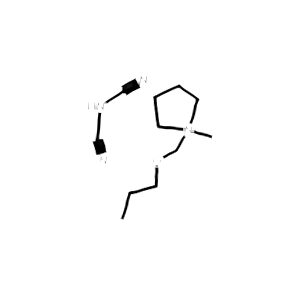 CCCOC[N+]1(C)CCCC1.N#CNC#N